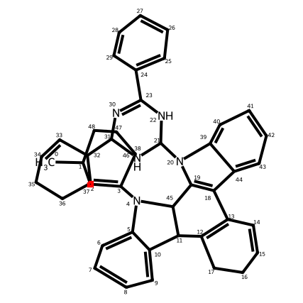 CC1C=C(N2c3ccccc3C3C4=C(C=CCC4)c4c(n(C5NC(c6ccccc6)=NC(C6C=CCCC6)N5)c5ccccc45)C32)CCC1